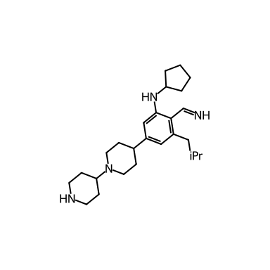 CC(C)Cc1cc(C2CCN(C3CCNCC3)CC2)cc(NC2CCCC2)c1C=N